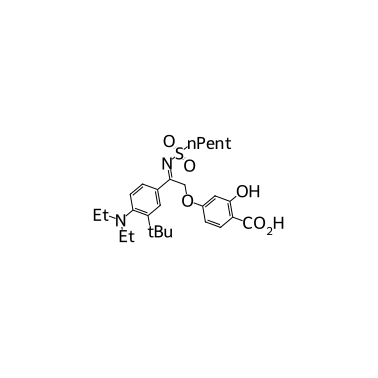 CCCCCS(=O)(=O)/N=C(\COc1ccc(C(=O)O)c(O)c1)c1ccc(N(CC)CC)c(C(C)(C)C)c1